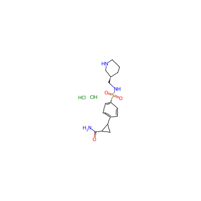 Cl.Cl.NC(=O)C1CC1c1ccc(S(=O)(=O)NC[C@@H]2CCCNC2)cc1